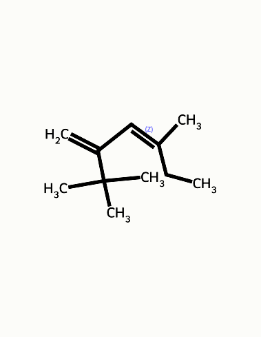 C=C(/C=C(/C)CC)C(C)(C)C